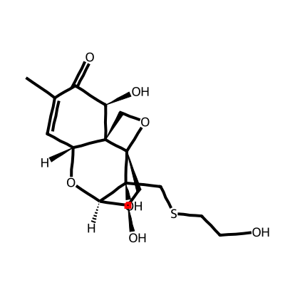 CC1=C[C@H]2O[C@@H]3[C@H](O)C[C@@]4(OC[C@]24[C@H](O)C1=O)[C@]3(O)CSCCO